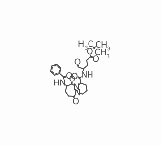 CC(C)(C)OC(=O)CCC(C=O)NC(=O)C1CCCN2C(=O)CCC(NC(=O)c3ccccc3)C(=O)N12